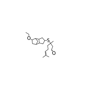 CCOC1CC2CC1C1CC(SC(C)(CC=O)CCC=C(C)C)CC21